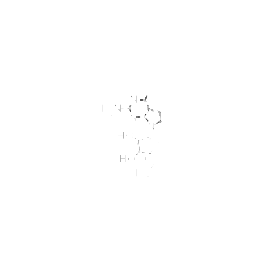 Nc1nc2c(ccn2[C@@H]2O[C@H](CO)[C@@H](O)[C@H]2O)c(=O)[nH]1